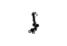 CN(C(=O)Cc1ccc(Cl)c(Cl)c1)[C@H](CN1CC[C@H](OCCOCCOCCOC(F)(F)F)C1)c1ccccc1